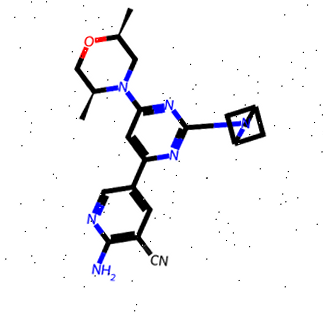 C[C@H]1CN(c2cc(-c3cnc(N)c(C#N)c3)nc(N3CC4CC3C4)n2)[C@@H](C)CO1